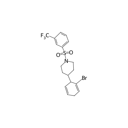 O=S(=O)(c1cccc(C(F)(F)F)c1)N1CCC(C2C=CCC=C2Br)CC1